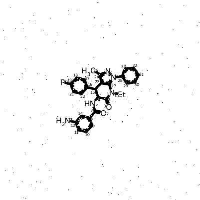 CCN1C(=O)C(NC(=O)c2cccc(N)c2)C(c2ccc(F)cc2)c2c(C)nn(-c3ccccc3)c21